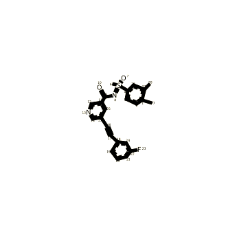 Cc1ccc(S(C)(=O)=NC(=O)c2cncc(C#Cc3cccc(F)c3)c2)cc1C